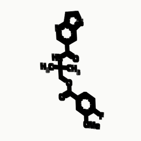 COc1cc(C(=O)OCC(C)(C)NC(=O)c2cnc3ccsc3c2)ccc1F